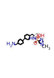 Cn1cnc(S(=O)(=O)N[C@@H](CO)Cc2ccc(-c3ccc(CN)cc3)cc2)c1